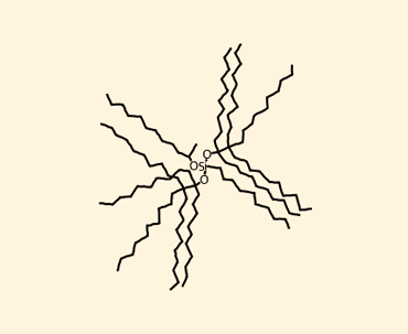 CCCCCCCCCCC(C)O[Si](CCCCCCCCCC)(OC(CCCCCCCCCC)(CCCCCCCCCC)C(CCCCCCCCCC)(CCCCCCCCCC)CCCCCCCCCC)OC(CCCCCCCCCC)(CCCCCCCCCC)C(CCCCCCCCCC)(CCCCCCCCCC)CCCCCCCCCC